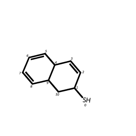 SC1C=CC2C=CC=CC2C1